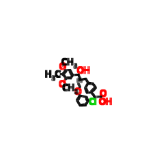 COc1cc(C(O)[C@@H](CCOc2cccc(Cl)c2)Cc2ccc(CC(=O)O)cc2)cc(OC)c1C